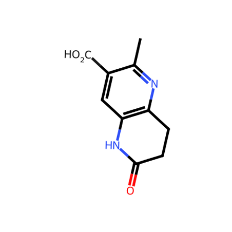 Cc1nc2c(cc1C(=O)O)NC(=O)CC2